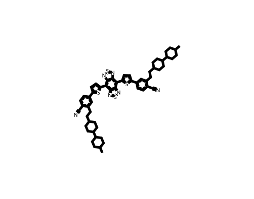 CC1CCC(C2CCC(CCc3cc(-c4ccc(-c5c6c(c(-c7ccc(-c8ccc(C#N)c(CCC9CCC(C%10CCC(C)CC%10)CC9)c8)s7)c7nsnc57)N=S=N6)s4)ccc3C#N)CC2)CC1